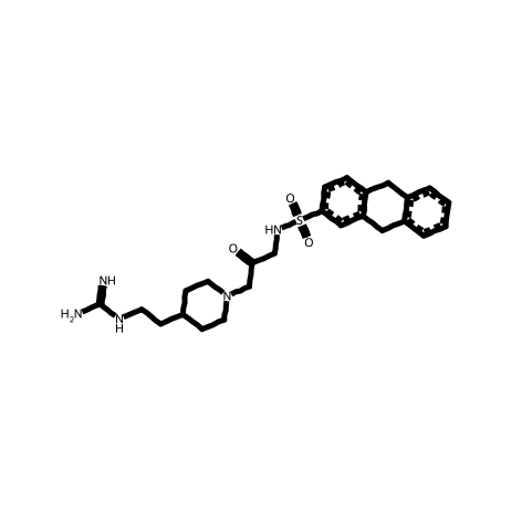 N=C(N)NCCC1CCN(CC(=O)CNS(=O)(=O)c2ccc3c(c2)Cc2ccccc2C3)CC1